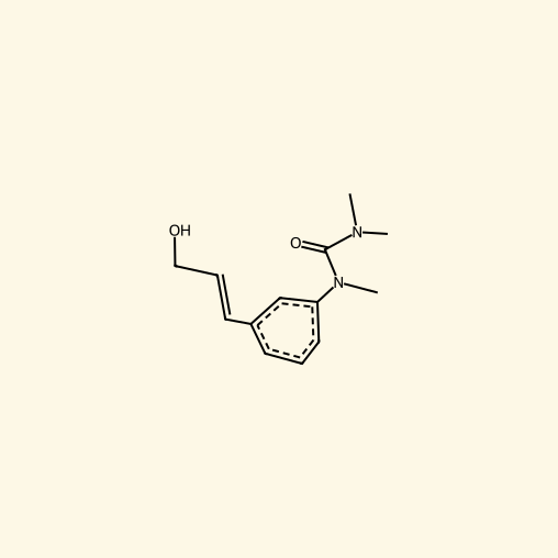 CN(C)C(=O)N(C)c1cccc(/C=C/CO)c1